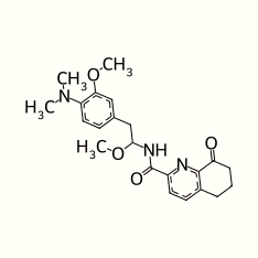 COc1cc(CC(NC(=O)c2ccc3c(n2)C(=O)CCC3)OC)ccc1N(C)C